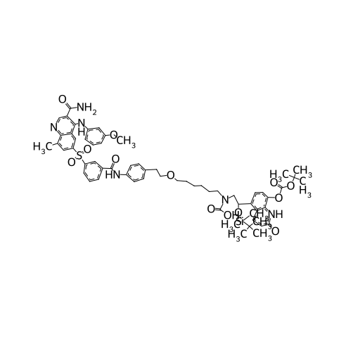 COc1cccc(Nc2c(C(N)=O)cnc3c(C)cc(S(=O)(=O)c4cccc(C(=O)Nc5ccc(CCOCCCCCCN(CC(O[Si](C)(C)C(C)(C)C)c6ccc(OC(=O)OC(C)(C)C)c7[nH]c(=O)ccc67)C(=O)O)cc5)c4)cc23)c1